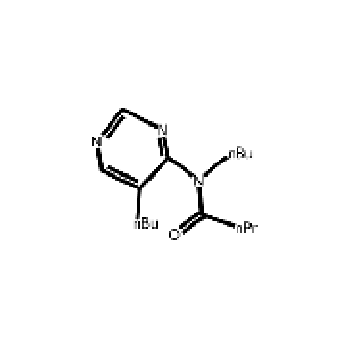 CCCCc1cncnc1N(CCCC)C(=O)CCC